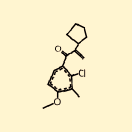 C=C(C(=O)c1ccc(OC)c(C)c1Cl)C1CCCC1